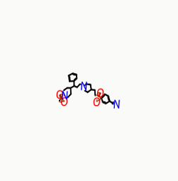 CS(=O)(=O)N1CCC(C(CCN2CCC(CCS(=O)(=O)c3ccc(C#N)cc3)CC2)c2ccccc2)CC1